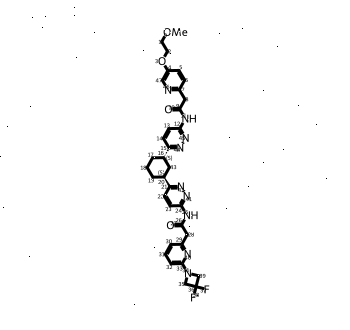 COCCOc1ccc(CC(=O)Nc2ccc([C@H]3CCC[C@H](c4ccc(NC(=O)Cc5cccc(N6CC(F)(F)C6)n5)nn4)C3)nn2)nc1